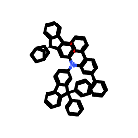 c1ccc(-c2ccc(-c3ccccc3)c(N(c3ccc4c(c3)[C@H](C3C5CCC3CC5)c3ccccc3-4)c3ccc4c(c3)C(c3ccccc3)(c3ccccc3)c3ccccc3-4)c2)cc1